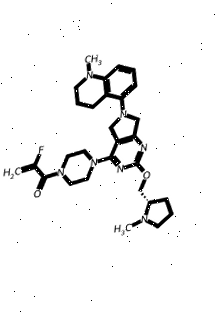 C=C(F)C(=O)N1CCN(c2nc(OC[C@@H]3CCCN3C)nc3c2CN(c2cccc4c2CCCN4C)C3)CC1